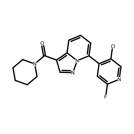 O=C(c1cnn2c(-c3cc(F)ncc3Cl)cccc12)N1CCCCC1